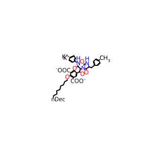 CCCCCCCCCCCCCCCCCCOc1c(C(=O)[O-])cc(C(=O)C(C(=O)Nc2ccccc2)N2C(=O)NC(Cc3ccc(C)cc3)C2=O)cc1C(=O)[O-].[K+].[K+]